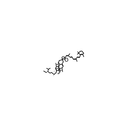 CC[C@H](CC[C@@H](C)[C@H]1CC[C@H]2[C@@H]3CC=C4CC(OC(=O)C=C(C)C=CC=C(C)C=CC5=C(C)CCCC5(C)C)CC[C@]4(C)[C@H]3CC[C@]12C)C(C)C